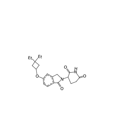 CCC1(CC)CC(Oc2ccc3c(c2)CN(C2CCC(=O)NC2=O)C3=O)C1